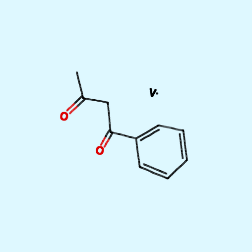 CC(=O)CC(=O)c1ccccc1.[V]